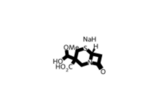 COC(O)C1(C(=O)O)CS[C@@H]2CC(=O)N2C1.[NaH]